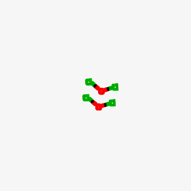 ClOCl.ClOCl